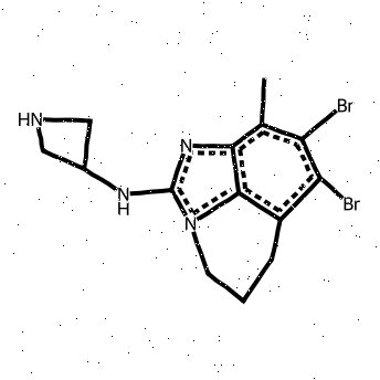 Cc1c(Br)c(Br)c2c3c1nc(NC1CNC1)n3CCC2